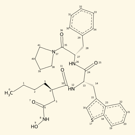 CCCC[C@H](CC(=O)NO)C(=O)N[C@@H](Cc1csc2ccccc12)C(=O)N[C@@H](Cc1ccccc1)C(=O)N1CCCC1